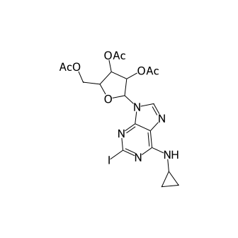 CC(=O)OCC1OC(n2cnc3c(NC4CC4)nc(I)nc32)C(OC(C)=O)C1OC(C)=O